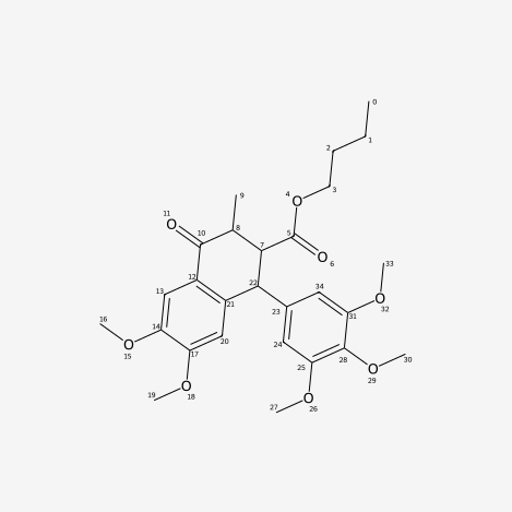 CCCCOC(=O)C1C(C)C(=O)c2cc(OC)c(OC)cc2C1c1cc(OC)c(OC)c(OC)c1